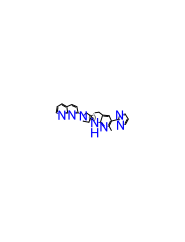 Cc1nc2c(cc1-c1ncccn1)CC[C@@]1(CCN(c3ccc4cccnc4n3)C1)N2